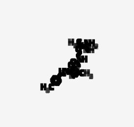 Cc1ccc(CCNc2ncc(C)n(CC(=O)NCCON(C)C(=N)N)c2=O)cc1